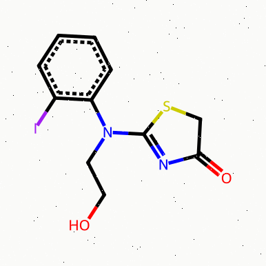 O=C1CSC(N(CCO)c2ccccc2I)=N1